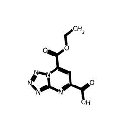 CCOC(=O)c1cc(C(=O)O)nc2nnnn12